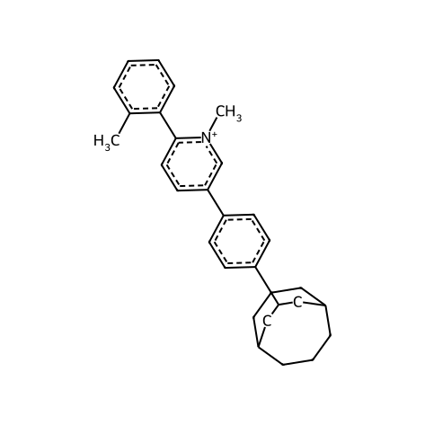 Cc1ccccc1-c1ccc(-c2ccc(C3CC4CCCC(CCC4)C3)cc2)c[n+]1C